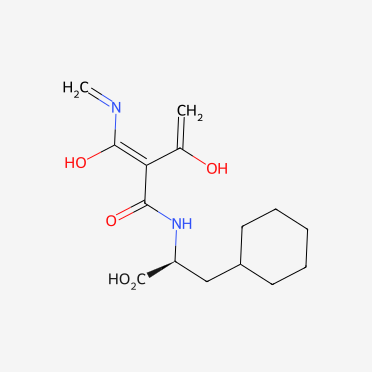 C=N/C(O)=C(\C(=C)O)C(=O)N[C@@H](CC1CCCCC1)C(=O)O